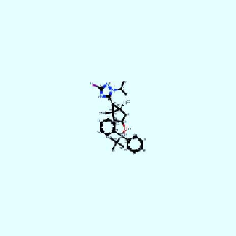 CC(C)n1nc(I)nc1[C@H]1[C@@H]2CC(O[Si](c3ccccc3)(c3ccccc3)C(C)(C)C)C[C@@H]21